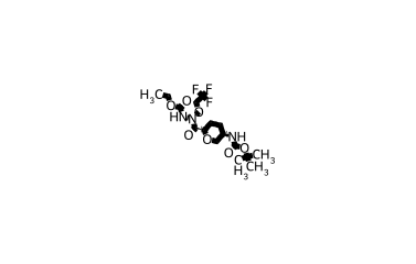 CCOC(=O)NN(OCC(F)(F)F)C(=O)[C@@H]1CC[C@@H](NC(=O)OC(C)(C)C)CO1